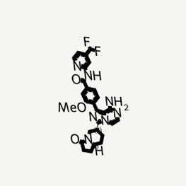 COc1cc(C(=O)Nc2cc(C(F)F)ccn2)ccc1-c1nc([C@@H]2CC[C@H]3CCC(=O)N3C2)n2ccnc(N)c12